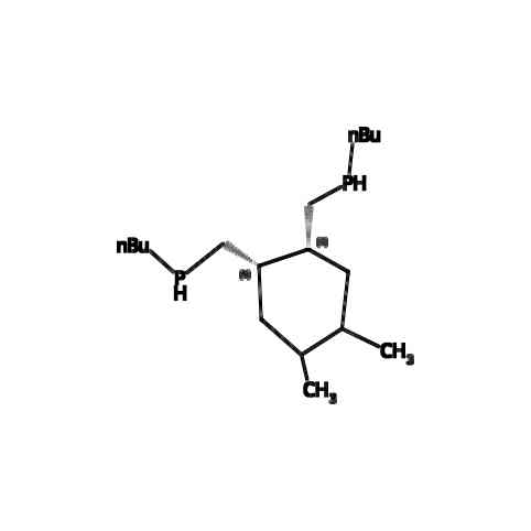 CCCCPC[C@@H]1CC(C)C(C)C[C@@H]1CPCCCC